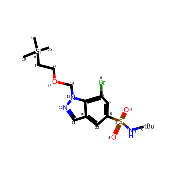 CC(C)(C)NS(=O)(=O)c1cc(Br)c2c(cnn2COCC[Si](C)(C)C)c1